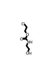 O=C(NCCO)OCCCl